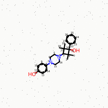 CC1(C)C(N2CCN(c3ccc(O)cc3)CC2)C(C)(C)C1(O)c1ccccc1